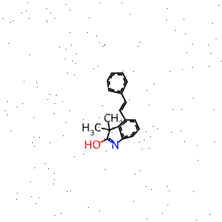 CC1(C)C(O)=Nc2cccc(C=Cc3ccccc3)c21